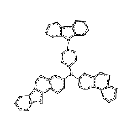 c1ccc2c(c1)ccc1cc(N(c3ccc(-n4c5ccccc5c5ccccc54)cc3)c3ccc4c(ccc5c6ccccc6oc45)c3)ccc12